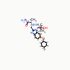 C[C@H](NCc1nc2ccc(Oc3ccc(F)cc3)cc2n1CC(C)(C)O)C(N)=O